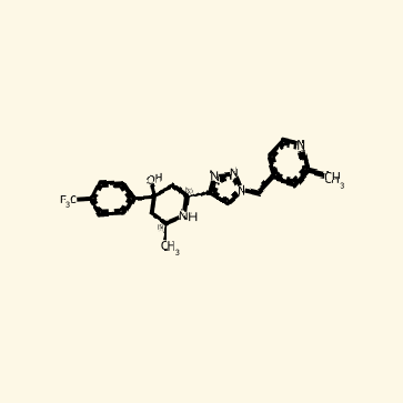 Cc1cc(Cn2cc([C@@H]3CC(O)(c4ccc(C(F)(F)F)cc4)C[C@H](C)N3)nn2)ccn1